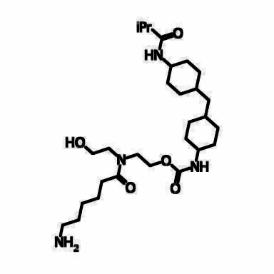 CC(C)C(=O)NC1CCC(CC2CCC(NC(=O)OCCN(CCO)C(=O)CCCCCN)CC2)CC1